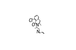 C=C/C=N\CC(C)n1c(C)cc2cccc(Cl)c2c1=O